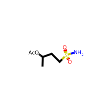 CC(=O)OC(C)CCS(N)(=O)=O